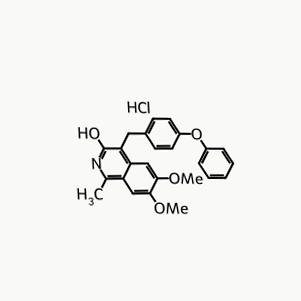 COc1cc2c(C)nc(O)c(Cc3ccc(Oc4ccccc4)cc3)c2cc1OC.Cl